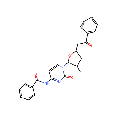 CC1CC(CC(=O)c2ccccc2)OC1n1ccc(NC(=O)c2ccccc2)nc1=O